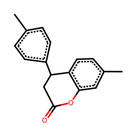 Cc1ccc(C2CC(=O)Oc3cc(C)ccc32)cc1